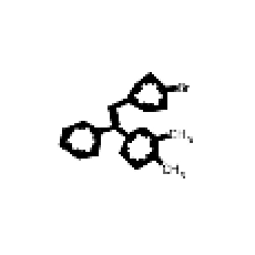 Cc1ccc(/C(=C\c2ccc(Br)cc2)c2ccccc2)cc1C